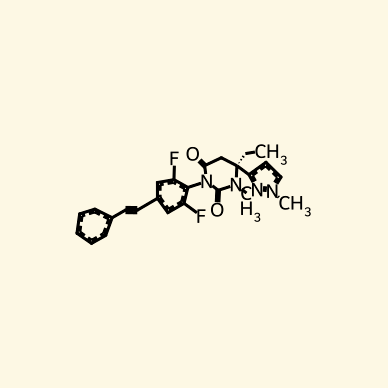 CC[C@@]1(c2ccn(C)n2)CC(=O)N(c2c(F)cc(C#Cc3ccccc3)cc2F)C(=O)N1C